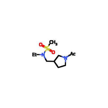 CCN(CC1CCN(C(C)=O)C1)S(C)(=O)=O